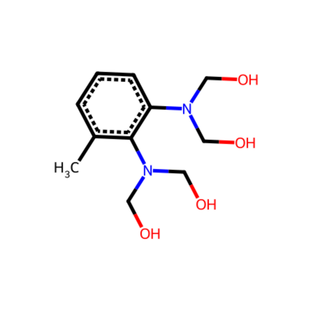 Cc1cccc(N(CO)CO)c1N(CO)CO